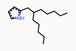 CCCCCC(CCCCC)Cc1ccc[nH]1